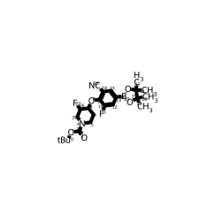 CC(C)(C)OC(=O)N1CCC(Oc2c(F)cc(B3OC(C)(C)C(C)(C)O3)cc2C#N)C(F)C1